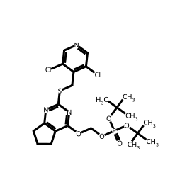 CC(C)(C)OP(=O)(OCOc1nc(SCc2c(Cl)cncc2Cl)nc2c1CCC2)OC(C)(C)C